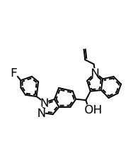 C=CCn1cc(C(O)c2ccc3c(cnn3-c3ccc(F)cc3)c2)c2ccccc21